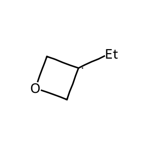 CC[C]1COC1